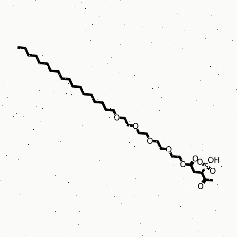 CCCCCCCCCCCCCCCCCCOCCOCCOCCOCCOC(=O)CC(C(C)=O)S(=O)(=O)O